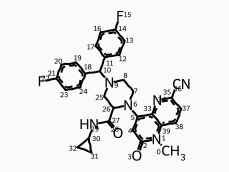 Cn1c(=O)cc(N2CCN(C(c3ccc(F)cc3)c3ccc(F)cc3)CC2C(=O)NC2CC2)c2nc(C#N)ccc21